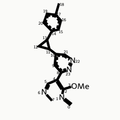 C=N/C(OC)=C(\C=N/C)c1cc(C2CC2c2ccc(C)cc2)cnn1